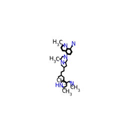 CCC(CCC1CC2CN(c3ccc(C#N)c4nc(C)ccc34)CC(C)N2C1)CC1=C(/C=N\C)C[C@H](C)NC1